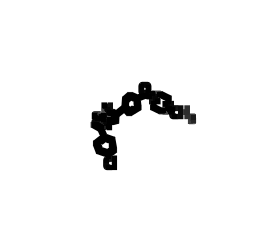 CN1CCN(C(=O)c2ccc(-c3cn4c(-c5ccc(Cl)cc5)csc4n3)cc2)CC1